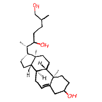 CC(CO)CCC(O)[C@@H](C)[C@H]1CC[C@H]2[C@@H]3CC=C4CC(O)CC[C@]4(C)[C@H]3CC[C@]12C